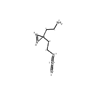 [N-]=[N+]=NCCC1(CCN)N=N1